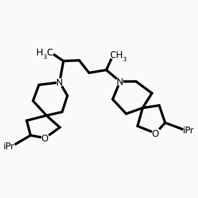 CC(C)C1CC2(CCN(C(C)CCC(C)N3CCC4(CC3)COC(C(C)C)C4)CC2)CO1